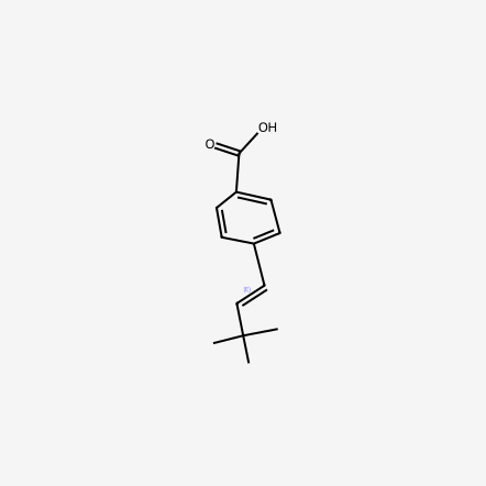 CC(C)(C)/C=C/c1ccc(C(=O)O)cc1